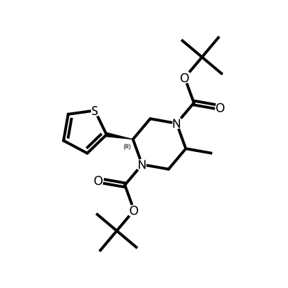 CC1CN(C(=O)OC(C)(C)C)[C@@H](c2cccs2)CN1C(=O)OC(C)(C)C